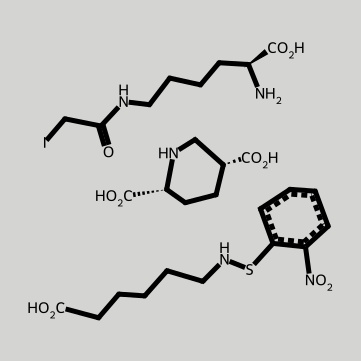 N[C@@H](CCCCNC(=O)CI)C(=O)O.O=C(O)CCCCCNSc1ccccc1[N+](=O)[O-].O=C(O)[C@@H]1CC[C@H](C(=O)O)NC1